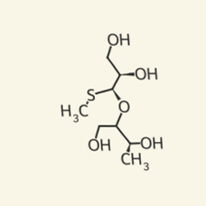 CS[C@H](OC(CO)[C@H](C)O)[C@H](O)CO